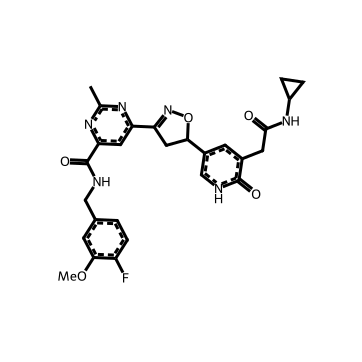 COc1cc(CNC(=O)c2cc(C3=NOC(c4c[nH]c(=O)c(CC(=O)NC5CC5)c4)C3)nc(C)n2)ccc1F